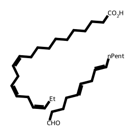 CC/C=C\C/C=C\C/C=C\CCCCCCCCCC(=O)O.CCCCC/C=C/C/C=C/CCCC=O